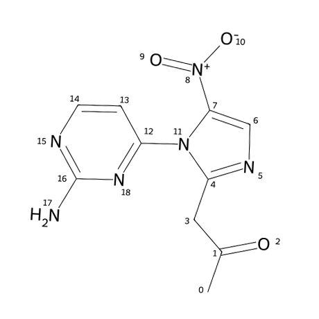 CC(=O)Cc1ncc([N+](=O)[O-])n1-c1ccnc(N)n1